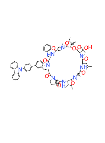 CCC(C)C1NC(=O)[C@@H]2CCCN2C2OC2C(Cc2cccc(-c3ccc(-n4c5ccccc5c5ccccc54)cc3)c2)N(C)C(=O)C(Cc2ccccc2)NC(=O)CN(C)C(=O)C([C@H](C)CC)OC(=O)C(C(C)(C)O)N(C)C(=O)C(CC(C)C)NC(=O)[C@H](C)N(C)C1=O